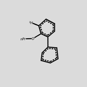 [2H]c1cccc(-c2ccccc2)c1OCCC